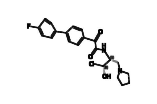 O=C(N[C@H](CN1CCCC1)[C@H](O)Cl)C(=O)c1ccc(-c2ccc(F)cc2)cc1